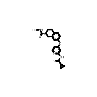 O=C(Nc1cc(Oc2ccc3c(c2)C[C@@H](C(=O)NO)CC3)ccn1)C1CC1